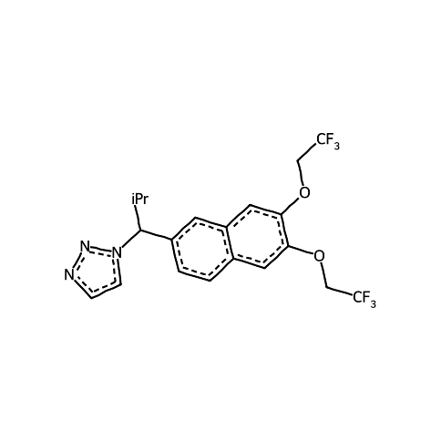 CC(C)C(c1ccc2cc(OCC(F)(F)F)c(OCC(F)(F)F)cc2c1)n1ccnn1